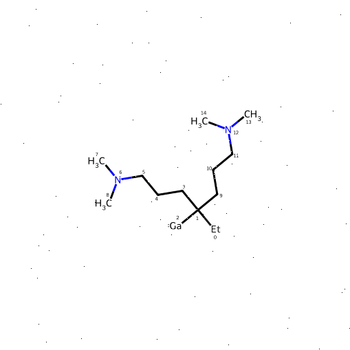 CC[C]([Ga])(CCCN(C)C)CCCN(C)C